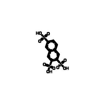 O=S(=O)(O)c1[c]cc2cc(S(=O)(=O)O)c(S(=O)(=O)O)cc2c1